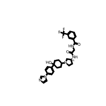 O=C(CNC(=O)c1cccc(C(F)(F)F)c1)N[C@@H]1CCN(C2CCC(O)(c3ccc(-n4ccnc4)cc3)CC2)C1